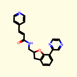 O=C(C=Cc1ccncc1)NCC1Cc2cccc(-c3cnccn3)c2O1